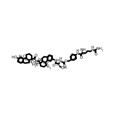 C[C@]1(C(=O)NC(=O)[C@@]2(C)CCC[C@]3(C)c4cc(NC(=O)[C@H](CO)NC(=O)OCc5ccc(NC(=O)[C@@H](N)CCCNC(N)=O)cc5)ccc4CC[C@@H]23)CCC[C@]2(C)c3cc(O)ccc3CC[C@@H]12